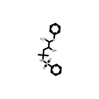 CC(C)(CC(O)C(N)Oc1ccccc1)NS(=O)(=O)c1ccccc1